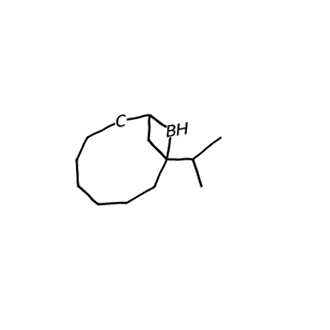 CC(C)C12BC(CCCCCCC1)C2